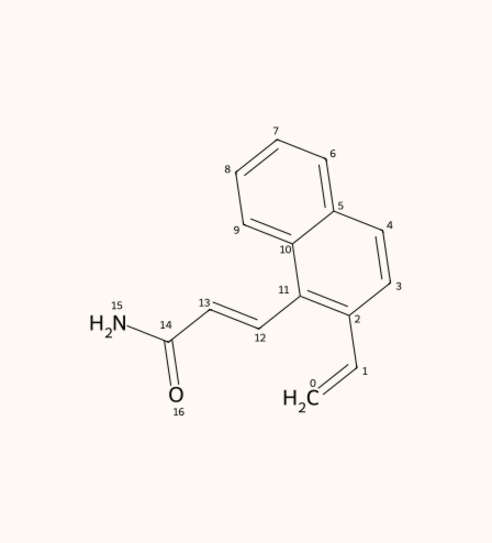 C=Cc1ccc2ccccc2c1C=CC(N)=O